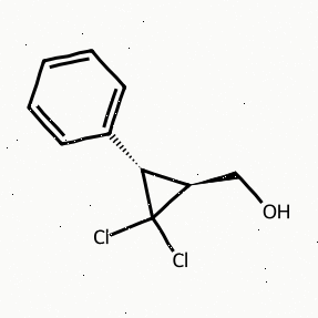 OC[C@@H]1[C@@H](c2ccccc2)C1(Cl)Cl